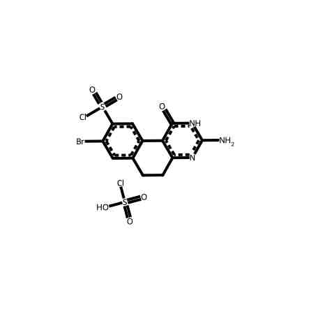 Nc1nc2c(c(=O)[nH]1)-c1cc(S(=O)(=O)Cl)c(Br)cc1CC2.O=S(=O)(O)Cl